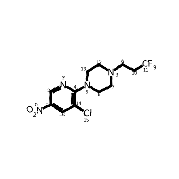 O=[N+]([O-])c1cnc(N2CCN(CCC(F)(F)F)CC2)c(Cl)c1